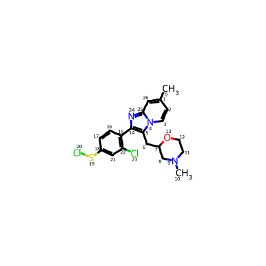 Cc1ccn2c(CC3CN(C)CCO3)c(-c3ccc(SCl)cc3Cl)nc2c1